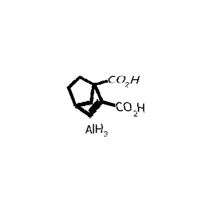 O=C(O)C1=CC2CCC1(C(=O)O)C2.[AlH3]